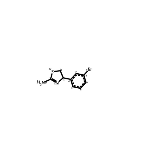 NC1=NC(c2cccc(Br)c2)CS1